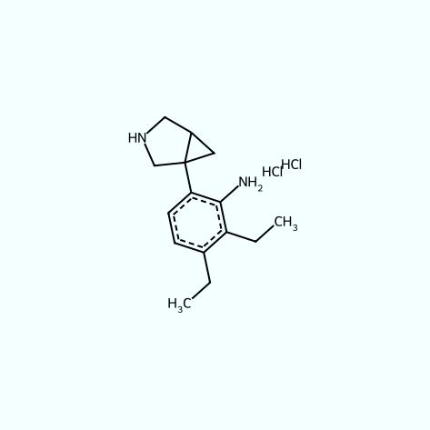 CCc1ccc(C23CNCC2C3)c(N)c1CC.Cl.Cl